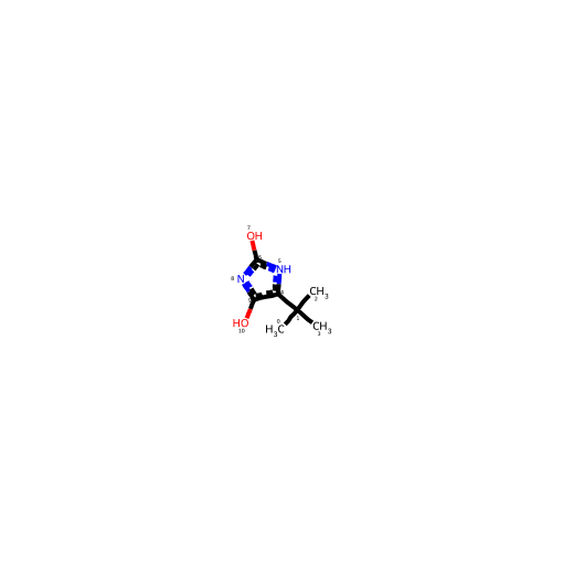 CC(C)(C)c1[nH]c(O)nc1O